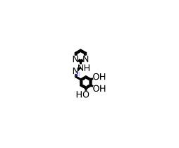 Oc1cc(/C=N\Nc2ncccn2)cc(O)c1O